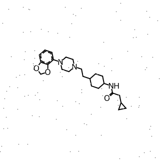 O=C(CC1CC1)NC1CCC(CCN2CCN(c3cccc4c3OCO4)CC2)CC1